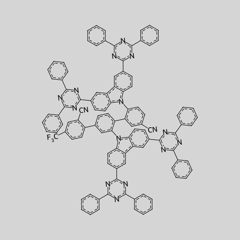 N#Cc1ccc(-n2c3ccc(-c4nc(-c5ccccc5)nc(-c5ccccc5)n4)cc3c3cc(-c4nc(-c5ccccc5)nc(-c5ccccc5)n4)ccc32)c(-c2ccc(-c3ccc(C(F)(F)F)cc3C#N)cc2-n2c3ccc(-c4nc(-c5ccccc5)nc(-c5ccccc5)n4)cc3c3cc(-c4nc(-c5ccccc5)nc(-c5ccccc5)n4)ccc32)c1